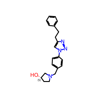 O[C@H]1CCN(Cc2ccc(-n3cc(CCc4ccccc4)nn3)cc2)C1